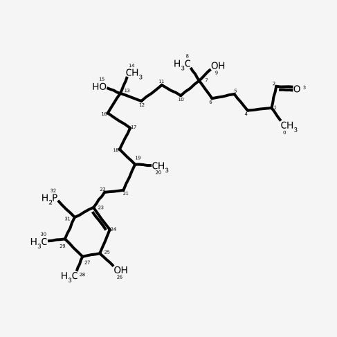 CC(C=O)CCCC(C)(O)CCCC(C)(O)CCCC(C)CCC1=CC(O)C(C)C(C)C1P